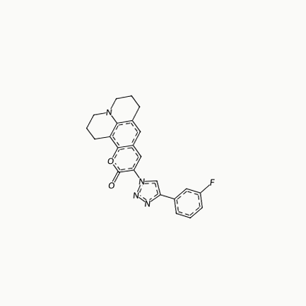 O=c1oc2c3c4c(cc2cc1-n1cc(-c2cccc(F)c2)nn1)CCCN4CCC3